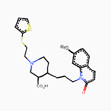 COc1ccc2ccc(=O)n(CCCC3CCN(CCSc4cccs4)CC3C(=O)O)c2c1